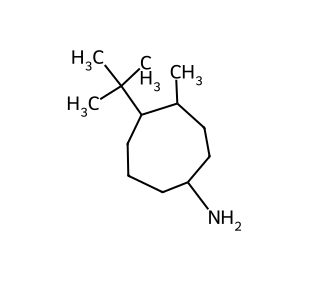 CC1CCC(N)CCCC1C(C)(C)C